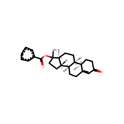 CCCC1(OC(=O)c2ccccc2)CC[C@H]2[C@@H]3CCC4=CC(=O)CC[C@]4(C)[C@@H]3CC[C@@]21C